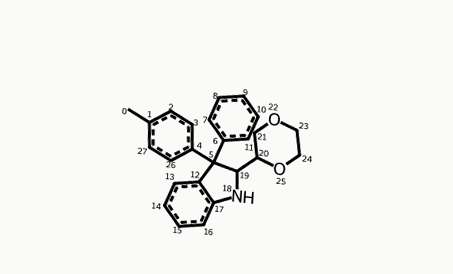 Cc1ccc(C2(c3ccccc3)c3ccccc3NC2C2COCCO2)cc1